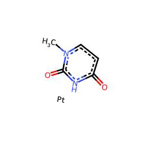 Cn1ccc(=O)[nH]c1=O.[Pt]